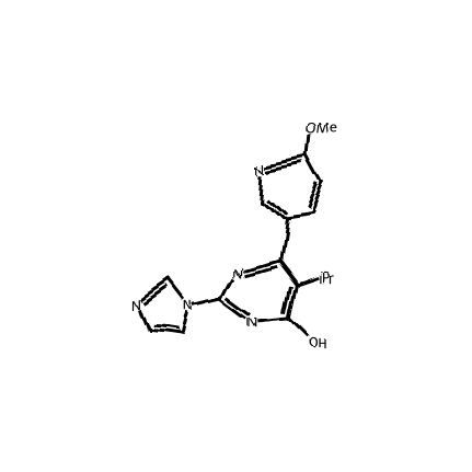 COc1ccc(-c2nc(-n3ccnc3)nc(O)c2C(C)C)cn1